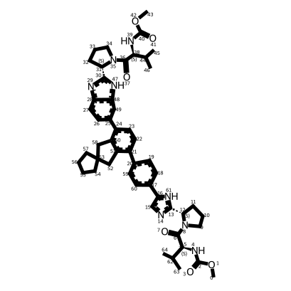 COC(=O)N[C@H](C(=O)N1CCC[C@H]1c1ncc(-c2ccc(-c3ccc(-c4ccc5nc([C@@H]6CCCN6C(=O)[C@@H](NC(=O)OC)C(C)C)[nH]c5c4)c4c3CC3(CCCC3)C4)cc2)[nH]1)C(C)C